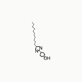 CCCCCCCCCCCc1cnc(-c2ccc(O)cc2)nc1